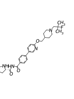 CC(C)(F)CN1CCC(COc2ccc(-c3ccc(C(=O)NC(=O)[C@@H]4CCCN4)cc3)cn2)CC1